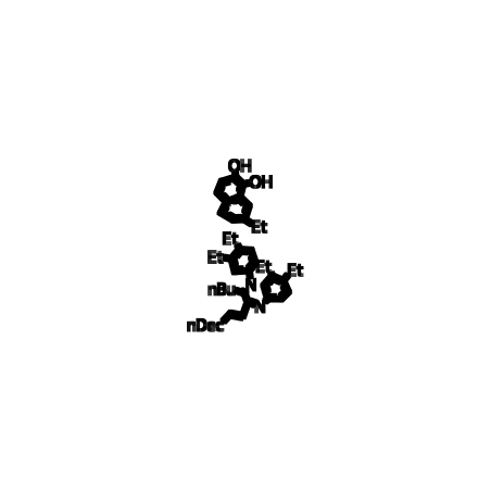 CCCCCCCCCCC=CC(=Nc1ccc(CC)c(CC)c1)C(CCCC)=Nc1ccc(CC)c(CC)c1.CCc1ccc2ccc(O)c(O)c2c1